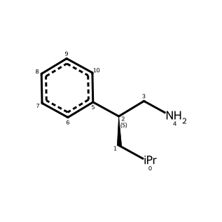 CC(C)C[C@H](CN)c1ccccc1